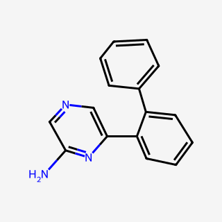 Nc1cncc(-c2ccccc2-c2ccccc2)n1